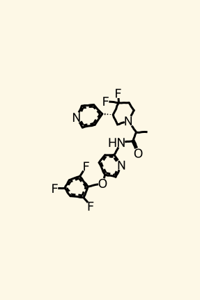 CC(C(=O)Nc1ccc(Oc2c(F)cc(F)cc2F)cn1)N1CCC(F)(F)[C@@H](c2ccncc2)C1